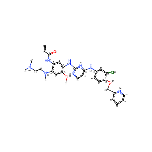 C=CC(=O)Nc1cc(Nc2nccc(Nc3ccc(OCc4ccccn4)c(Cl)c3)n2)c(OC)cc1N(C)CCN(C)C